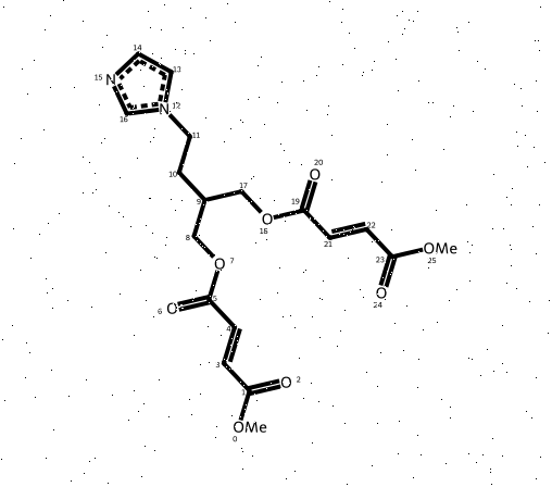 COC(=O)/C=C/C(=O)OCC(CCn1ccnc1)COC(=O)/C=C/C(=O)OC